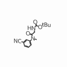 CN(C(=O)CNC(=O)OC(C)(C)C)c1cccc(C#N)c1